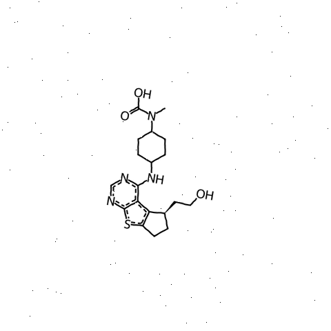 CN(C(=O)O)C1CCC(Nc2ncnc3sc4c(c23)[C@@H](CCO)CC4)CC1